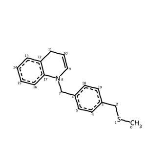 CSCc1ccc(CN2C=CCc3ccccc32)cc1